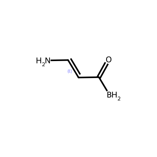 BC(=O)/C=C/N